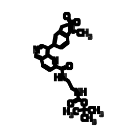 CN1c2ccc(-c3cncc4ccc(C(=O)NCCNC(=O)OC(C)(C)C)nc34)cc2CS1(=O)=O